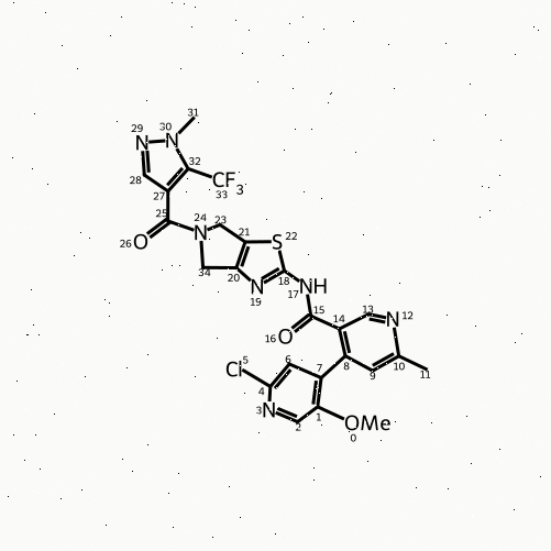 COc1cnc(Cl)cc1-c1cc(C)ncc1C(=O)Nc1nc2c(s1)CN(C(=O)c1cnn(C)c1C(F)(F)F)C2